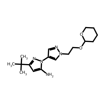 CC(C)(C)c1cc(N)n(-c2cnn(CCOC3CCCCO3)c2)n1